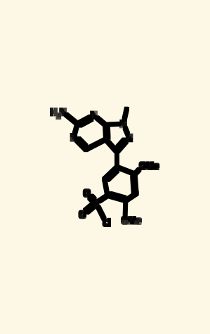 COc1cc(OC)c(S(=O)(=O)Cl)cc1-c1nn(C)c2nc(N)ncc12